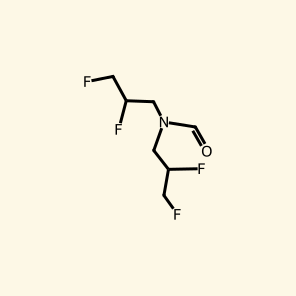 O=CN(CC(F)CF)CC(F)CF